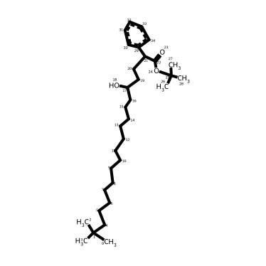 CC(C)(C)CCCCCCCCCCCCCC(O)CCC(C(=O)OC(C)(C)C)c1ccccc1